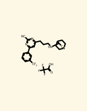 N#Cc1nc(CCCNC2CN3CCC2CC3)cc(-c2cccc(C(F)(F)F)c2)n1.O=C(O)C(F)(F)F